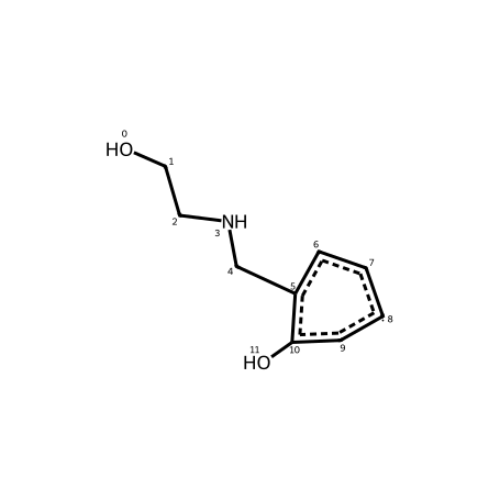 OCCNCc1cc[c]cc1O